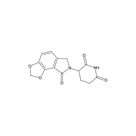 O=C1CCC(N2Cc3ccc4c(c3C2=O)OCO4)C(=O)N1